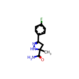 CC1(C(N)=O)CC(c2ccc(F)cc2)=NN1